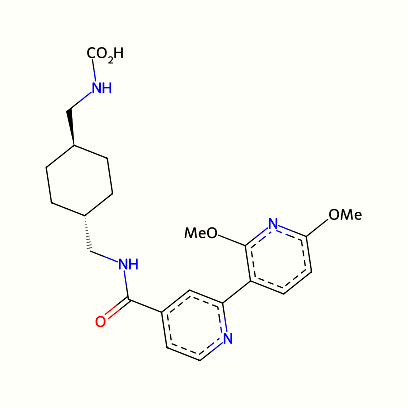 COc1ccc(-c2cc(C(=O)NC[C@H]3CC[C@H](CNC(=O)O)CC3)ccn2)c(OC)n1